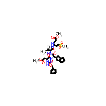 COC(=O)CC[C@@H](/C=C/S(C)(=O)=O)NC(=O)[C@@H](NC(=O)[C@@H](NC(=O)[C@H](CC(=O)OC)NC(=O)OCc1ccccc1)C1Cc2ccccc2C1)C(C)C